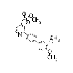 COc1ccc(-c2ccc(-c3cc(CS(=O)(=O)OC)ccn3)cc2)cc1OC